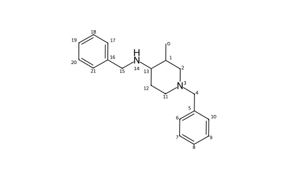 CC1CN(Cc2ccccc2)CCC1NCc1ccccc1